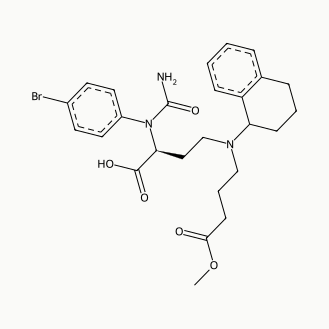 COC(=O)CCCN(CC[C@@H](C(=O)O)N(C(N)=O)c1ccc(Br)cc1)C1CCCc2ccccc21